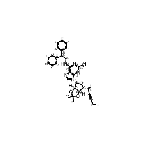 CCC#CC(=O)[C@H]1O[C@@H](n2cnc3c(NCC(c4ccccc4)c4ccccc4)nc(Cl)nc32)[C@@H]2OC(C)(C)O[C@@H]21